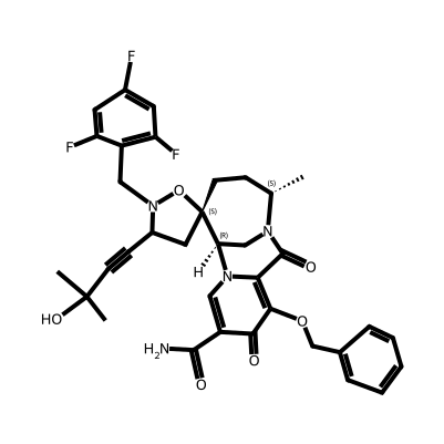 C[C@H]1CC[C@]2(CC(C#CC(C)(C)O)N(Cc3c(F)cc(F)cc3F)O2)[C@H]2CN1C(=O)c1c(OCc3ccccc3)c(=O)c(C(N)=O)cn12